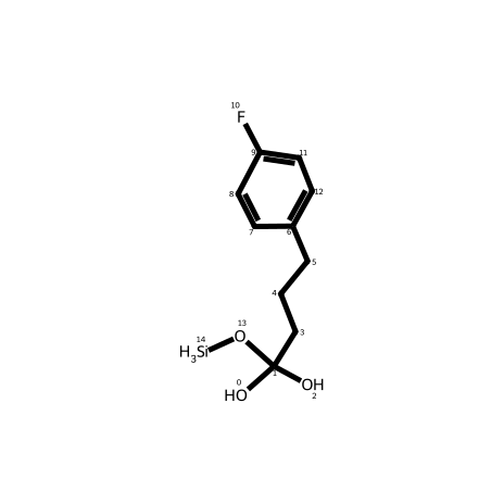 OC(O)(CCCc1ccc(F)cc1)O[SiH3]